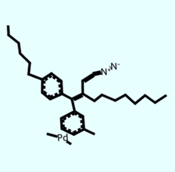 CCCCCCCCC(C=C=[N+]=[N-])=C(c1ccc(CCCCCC)cc1)c1cccc(C)c1.[CH3][Pd][CH3]